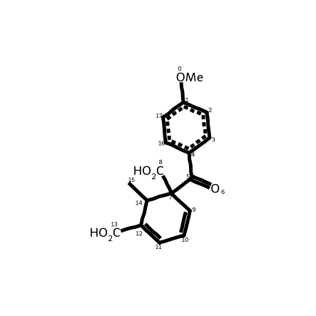 COc1ccc(C(=O)C2(C(=O)O)C=CC=C(C(=O)O)C2C)cc1